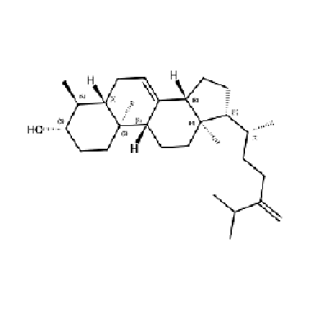 C=C(CC[C@@H](C)[C@H]1CC[C@H]2C3=CC[C@H]4[C@H](C)[C@@H](O)CC[C@]4(C)[C@H]3CC[C@]12C)C(C)C